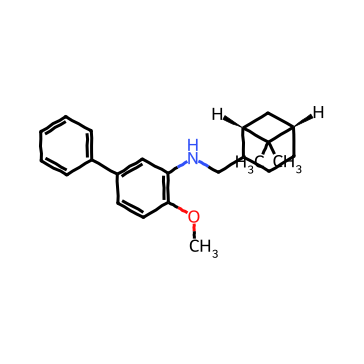 COc1ccc(-c2ccccc2)cc1NCC1CC[C@H]2C[C@@H]1C2(C)C